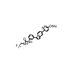 COc1ccc(-c2ccn3c(-c4cccc(NC(=O)NCC(F)(F)F)c4)ccc3c2)nn1